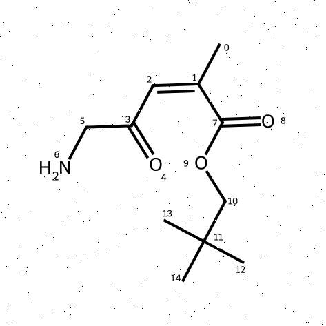 CC(=CC(=O)CN)C(=O)OCC(C)(C)C